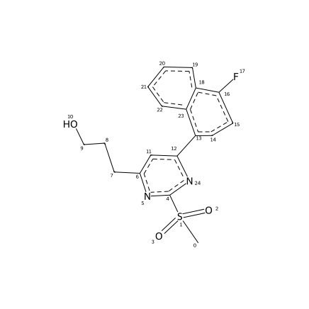 CS(=O)(=O)c1nc(CCCO)cc(-c2ccc(F)c3ccccc23)n1